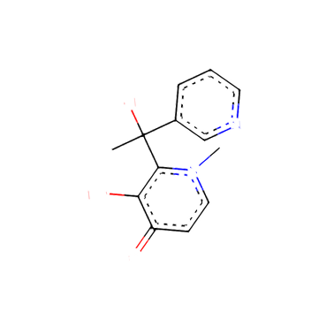 Cn1ccc(=O)c(O)c1C(C)(O)c1cccnc1